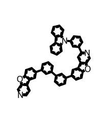 c1cc(-c2cccc(-c3ccc4oc5cnc(-c6cccc(-n7c8ccccc8c8ccccc87)c6)cc5c4c3)c2)cc(-c2ccc3oc4cnccc4c3c2)c1